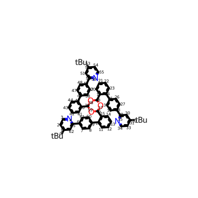 CC(C)(C)c1ccnc(-c2ccc(-c3ccccc3C3OC(c4ccccc4-c4ccc(-c5cc(C(C)(C)C)ccn5)cc4)OC(c4ccccc4-c4ccc(-c5cc(C(C)(C)C)ccn5)cc4)O3)cc2)c1